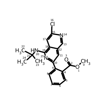 COC(=O)c1ccccc1-c1cc2cnc(Cl)cc2c(NC(C)(C)C)n1